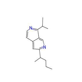 CCCC(C)c1cc2ccnc(C(C)C)c2cn1